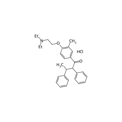 CCN(CC)CCOc1ccc(C(=O)C(c2ccccc2)C(C)c2ccccc2)cc1C.Cl